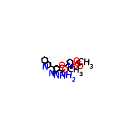 CN1C(COc2cc(-c3cnc4c(c3)CCCC4)c3nc[nH]c3c2C(N)=O)CCCC1OS(C)(=O)=O